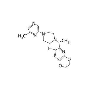 Cc1cncc(N2CCN(C(C)c3nc4c(cc3F)OCCO4)CC2)n1